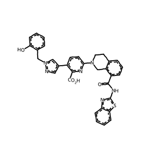 O=C(Nc1nc2ccccc2s1)c1cccc2c1CN(c1ccc(-c3cnn(Cc4ccccc4O)c3)c(C(=O)O)n1)CC2